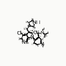 CC(C)N(C)C(=O)c1cc(F)ccc1-n1cc(C[C@H]2CCNC2)c2c(Cl)cncc21